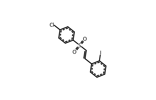 O=S(=O)(C=Cc1ccccc1I)c1ccc(Cl)cc1